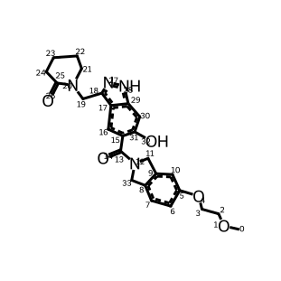 COCCOc1ccc2c(c1)CN(C(=O)c1cc3c(CN4CCCCC4=O)n[nH]c3cc1O)C2